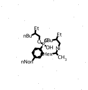 CCCCCCCCCc1ccc(P(=O)(O)OCC(CC)CCCC)cc1.CCCCCC[CH](C)[Ni][CH2]C(CC)CCCC